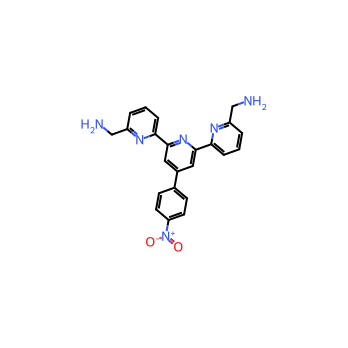 NCc1cccc(-c2cc(-c3ccc([N+](=O)[O-])cc3)cc(-c3cccc(CN)n3)n2)n1